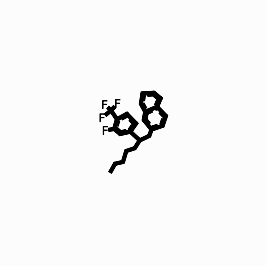 CCCCCC(Cc1ccc2ccccc2c1)c1ccc(C(F)(F)F)c(F)c1